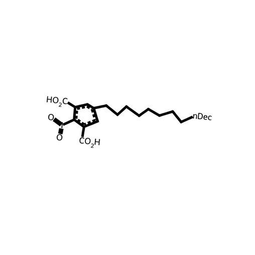 CCCCCCCCCCCCCCCCCCc1cc(C(=O)O)c(I(=O)=O)c(C(=O)O)c1